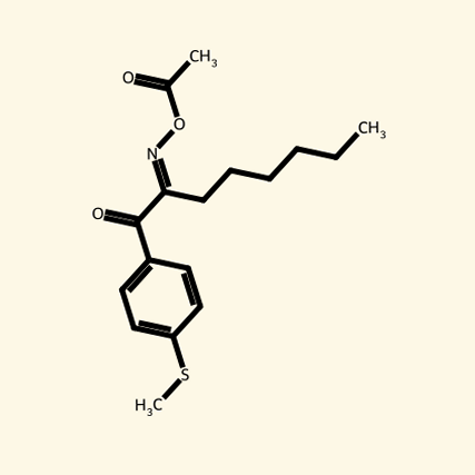 CCCCCC/C(=N\OC(C)=O)C(=O)c1ccc(SC)cc1